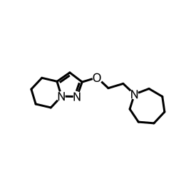 c1c(OCCN2CCCCCC2)nn2c1CCCC2